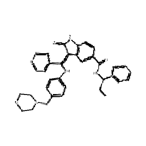 CC[C@@H](NC(=O)c1ccc2c(c1)C(=C(Nc1ccc(CN3CCOCC3)cc1)c1ccncc1)C(=O)N2)c1ccccc1